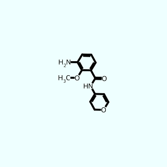 COc1c(N)cccc1C(=O)NC1=CCOC=C1